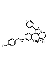 COc1cc(OCc2ccc(C(C)C)cc2)ccc1-c1c(-c2ccncc2)nn2c1C(=O)NCC2